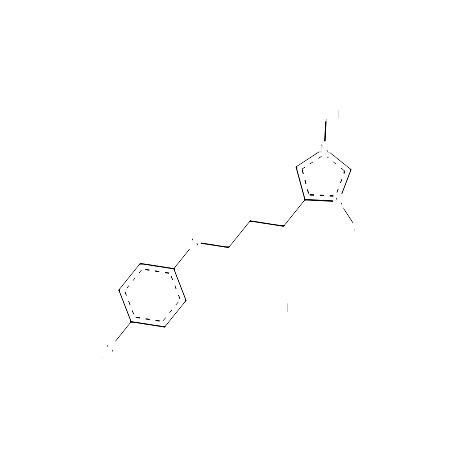 Cn1c[n+](C)cc1CCCNc1ccc(N)cc1.[Cl-]